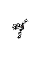 N#Cc1cc(-n2c3ccccc3c3cc(-c4ccc(-c5ccccc5)nc4)ccc32)c(-n2c3ccccc3c3cc(-c4ccc(-c5ccccc5)nc4)ccc32)cc1-c1c(F)c(F)c(F)c(F)c1F